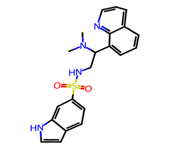 CN(C)C(CNS(=O)(=O)c1ccc2cc[nH]c2c1)c1cccc2cccnc12